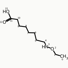 CCONCCCCCCCC(=O)O